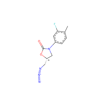 Cc1ccc(N2C[C@H](CN=[N+]=[N-])OC2=O)cc1F